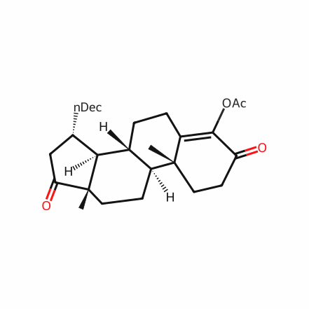 CCCCCCCCCC[C@H]1CC(=O)[C@@]2(C)CC[C@H]3[C@@H](CCC4=C(OC(C)=O)C(=O)CC[C@@]43C)[C@H]12